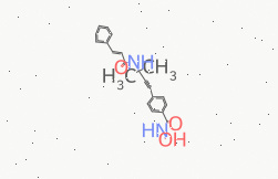 CC(C)(C#Cc1ccc(C(=O)NO)cc1)NC(=O)C=Cc1ccccc1